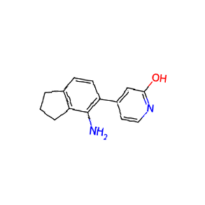 Nc1c(-c2ccnc(O)c2)ccc2c1CCC2